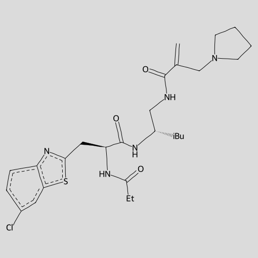 C=C(CN1CCCC1)C(=O)NC[C@@H](NC(=O)[C@H](Cc1nc2ccc(Cl)cc2s1)NC(=O)CC)C(C)CC